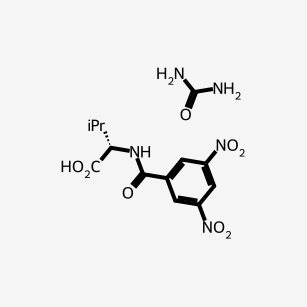 CC(C)[C@H](NC(=O)c1cc([N+](=O)[O-])cc([N+](=O)[O-])c1)C(=O)O.NC(N)=O